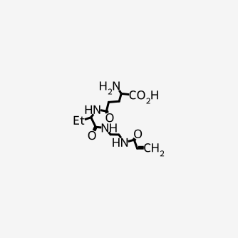 C=CC(=O)NCCNC(=O)C(CC)NC(=O)CCC(N)C(=O)O